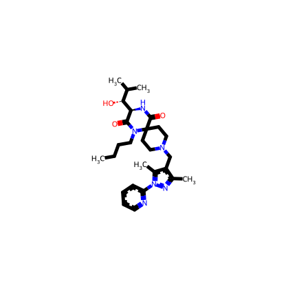 CCCCN1C(=O)[C@@H]([C@H](O)C(C)C)NC(=O)C12CCN(Cc1c(C)nn(-c3ccccn3)c1C)CC2